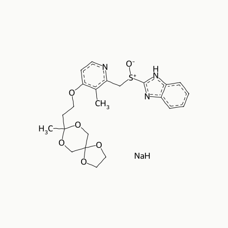 Cc1c(OCCC2(C)OCC3(CO2)OCCO3)ccnc1C[S+]([O-])c1nc2ccccc2[nH]1.[NaH]